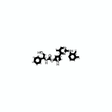 Cc1cnc(Nc2cccc(C)c2C)nc1-c1c[nH]c(OC(=O)NC(CO)c2ccccc2)c1